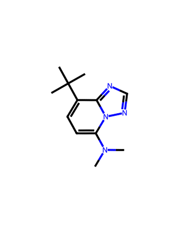 CN(C)c1ccc(C(C)(C)C)c2ncnn12